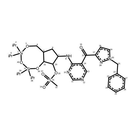 CC(C)[Si]1(C(C)C)OCC2CC(Nc3ncncc3C(=O)c3ccn(Cc4ccccc4)n3)C(OS(C)(=O)=O)C2O[Si](C(C)C)(C(C)C)O1